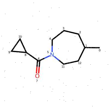 CC1CCCN(C(=O)C2CC2)CC1